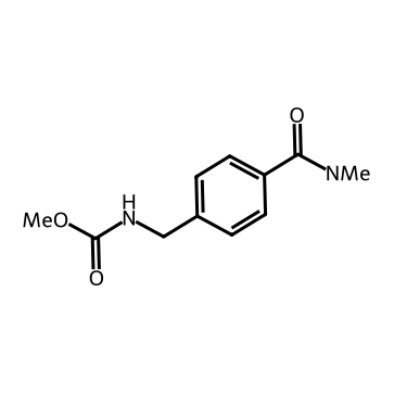 CNC(=O)c1ccc(CNC(=O)OC)cc1